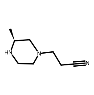 C[C@H]1CN(CCC#N)CCN1